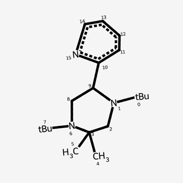 CC(C)(C)N1CC(C)(C)N(C(C)(C)C)CC1c1ccccn1